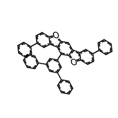 c1ccc(-c2cc(-c3ccccc3)cc(-c3c4oc5ccc(-c6ccccc6)cc5c4cc4oc5ccc(-c6ccccc6)cc5c34)c2)cc1